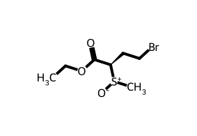 CCOC(=O)[C@@H](CCBr)[S+](C)[O-]